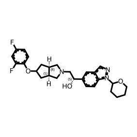 O[C@H](CN1C[C@H]2CC(Oc3ccc(F)cc3F)C[C@H]2C1)c1ccc2c(cnn2C2CCCCO2)c1